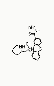 CCCNC(=S)c1ccc2c(c1)N([C@H](C)CC1CCCCCN1)c1ccccc1S2